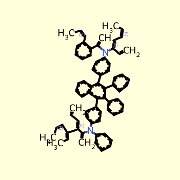 C=C/C=C(/C(=C)N(c1ccccc1)c1ccc(-c2c(-c3ccccc3)c(-c3ccccc3)c(-c3ccc(N(C(=C)c4ccccc4/C=C\C)/C(C=C)=C/C=C\C)cc3)c3ccccc23)cc1)C(=CC)/C=C\C